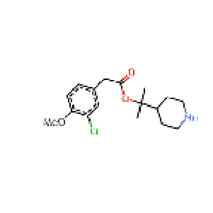 COc1ccc(CC(=O)OC(C)(C)C2CCNCC2)cc1Cl